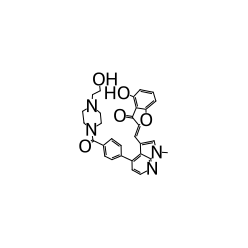 Cn1cc(C=C2Oc3cccc(O)c3C2=O)c2c(-c3ccc(C(=O)N4CCN(CCO)CC4)cc3)ccnc21